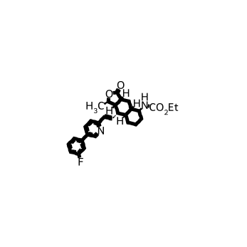 CCOC(=O)N[C@H]1CCC[C@H]2[C@H](/C=C/c3ccc(-c4cccc(F)c4)cn3)[C@@H]3[C@@H](C)OC(=O)[C@@H]3C[C@@H]21